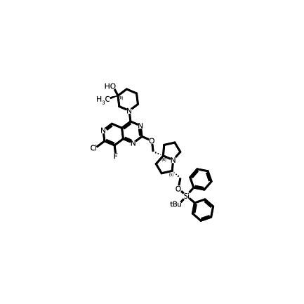 CC(C)(C)[Si](OC[C@@H]1CC[C@@]2(COc3nc(N4CCC[C@@](C)(O)C4)c4cnc(Cl)c(F)c4n3)CCCN12)(c1ccccc1)c1ccccc1